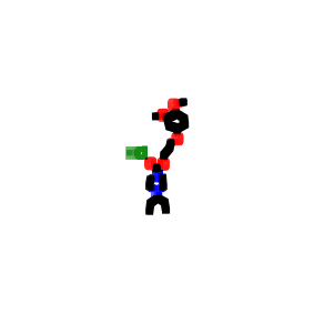 CCC(CC)N1CCN(C(=O)OCCCOc2ccc(OC)c(OC)c2)CC1.Cl